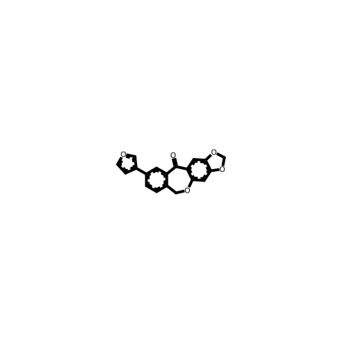 O=C1c2cc(-c3ccoc3)ccc2COc2cc3c(cc21)OCO3